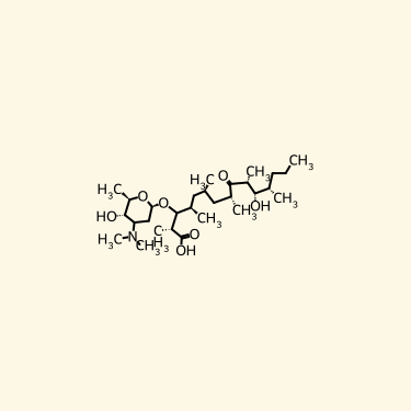 CCC[C@H](C)[C@H](O)[C@@H](C)C(=O)[C@H](C)C[C@H](C)C[C@@H](C)C(O[C@H]1CC(N(C)C)[C@H](O)[C@@H](C)O1)[C@@H](C)C(=O)O